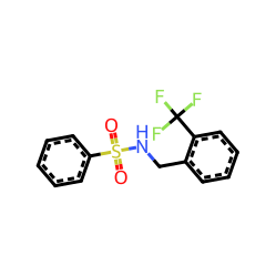 O=S(=O)(NCc1ccccc1C(F)(F)F)c1ccccc1